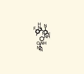 Cc1cc(F)c2[nH]cc(-c3nc(N[C@H]4CCC[C@@H](NC(=O)c5cn(C)cn5)C4)c(F)cc3C#N)c2c1